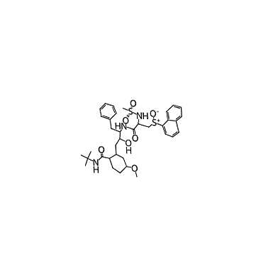 COC1CCC(C(=O)NC(C)(C)C)C(CC(O)C(Cc2ccccc2)NC(=O)C(C[S+]([O-])c2cccc3ccccc23)NS(C)(=O)=O)C1